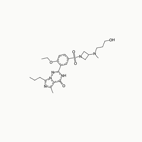 CCCc1nc(C)c2c(=O)[nH]c(-c3cc(S(=O)(=O)N4CC(N(C)CCCO)C4)ccc3OCC)nn12